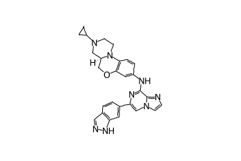 c1cn2cc(-c3ccc4cn[nH]c4c3)nc(Nc3ccc4c(c3)OC[C@H]3CN(C5CC5)CCN43)c2n1